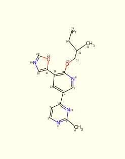 Cc1nccc(-c2cnc(OCC(C)CC(C)C)c(-c3cnco3)c2)n1